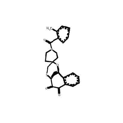 Cc1ccccc1C(=O)N1CCC2(CC1)CSC1=C(O2)c2ccccc2C(=O)C1=O